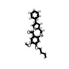 CCCCOc1cc2c(cc1OC)C(=O)N1C=C(c3ccccc3)CC1C=N2